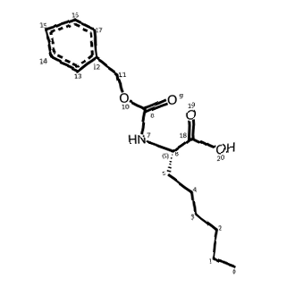 CCCCCC[C@H](NC(=O)OCc1ccccc1)C(=O)O